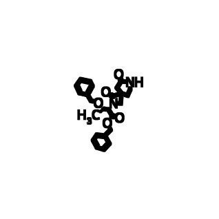 C[C@@H](OCc1ccccc1)[C@@H](C(=O)OCc1ccccc1)N1CC2(CCNC(=O)C2)C1=O